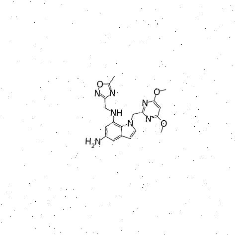 COc1cc(OC)nc(Cn2ccc3cc(N)cc(NCc4noc(C)n4)c32)n1